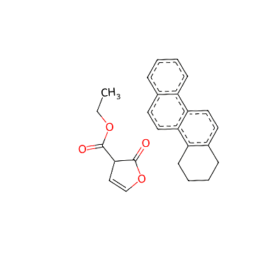 CCOC(=O)C1C=COC1=O.c1ccc2c(c1)ccc1c3c(ccc12)CCCC3